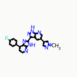 Cn1cc(-c2cnc3[nH]nc(-c4nc5c(-c6ccc(F)cc6)ccnc5[nH]4)c3c2)cn1